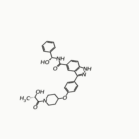 C[C@H](O)C(=O)N1CCC(Oc2ccc(-c3n[nH]c4ccc(C(=O)N[C@@H](O)c5ccccc5)cc34)cc2)CC1